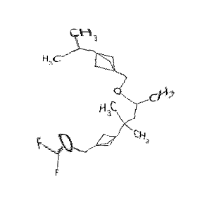 CC(CC(C)(C)C12CC(COC(F)F)(C1)C2)OCC12CC(C(C)C)(C1)C2